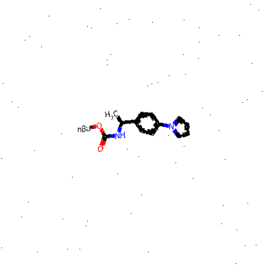 CCCCOC(=O)NC(C)c1ccc(-n2cccc2)cc1